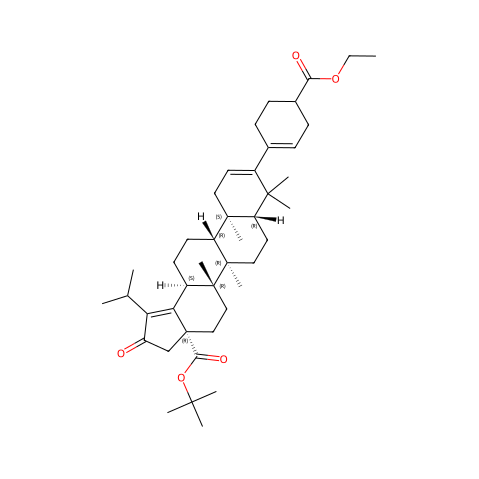 CCOC(=O)C1CC=C(C2=CC[C@]3(C)[C@H]4CC[C@@H]5C6=C(C(C)C)C(=O)C[C@]6(C(=O)OC(C)(C)C)CC[C@@]5(C)[C@]4(C)CC[C@H]3C2(C)C)CC1